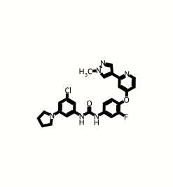 Cn1cc(-c2cc(Oc3ccc(NC(=O)Nc4cc(Cl)cc(N5CCCC5)c4)cc3F)ccn2)cn1